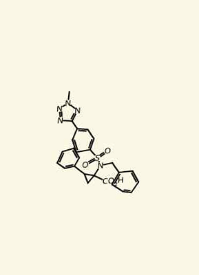 Cn1nnc(-c2ccc(S(=O)(=O)N(Cc3ccccc3)C3(C(=O)O)CC3c3ccccc3)cc2)n1